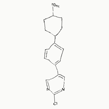 CCCCCCCCCCC1CCC(c2ccc(-c3cnc(Cl)nc3)cc2)CC1